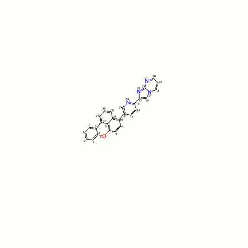 c1ccc2c(c1)Oc1ccc(-c3ccc(-c4cn5cccnc5n4)nc3)c3cccc-2c13